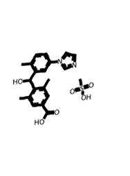 CS(=O)(=O)O.Cc1ccc(-n2ccnc2)cc1C(O)c1c(C)cc(C(=O)O)cc1C